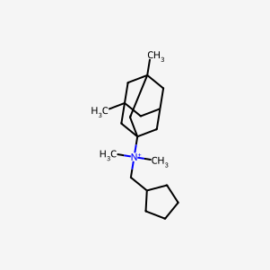 CC12CC3CC(C)(C1)CC([N+](C)(C)CC1CCCC1)(C3)C2